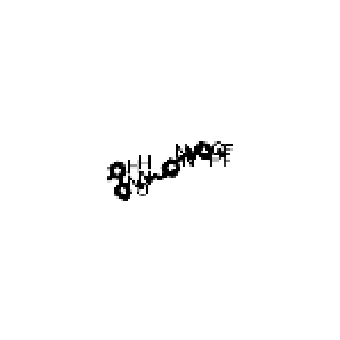 Cc1ccccc1-c1ccccc1NC(=O)NCCCc1ccc(-c2ncn(-c3ccc(OC(F)(F)F)cc3)n2)cc1